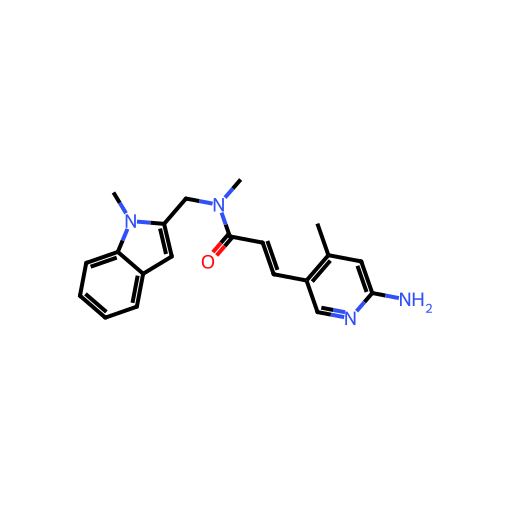 Cc1cc(N)ncc1C=CC(=O)N(C)Cc1cc2ccccc2n1C